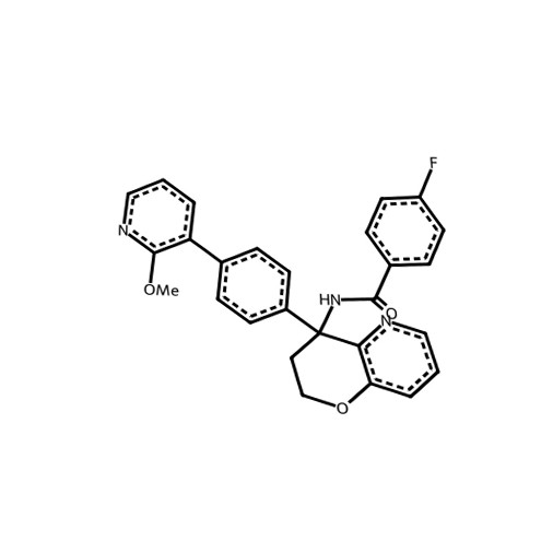 COc1ncccc1-c1ccc(C2(NC(=O)c3ccc(F)cc3)CCOc3cccnc32)cc1